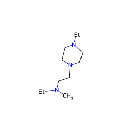 CCN(C)CCN1CCN(CC)CC1